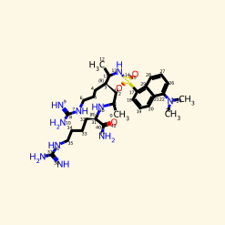 CC(C[C@@H](CCCNC(=N)N)C(C)NS(=O)(=O)c1cccc2c(N(C)C)cccc12)N[C@H](CCCCNC(=N)N)C(N)=O